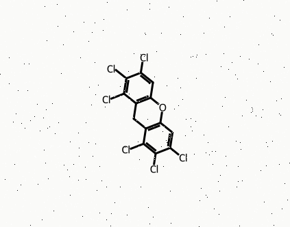 Clc1cc2c(c(Cl)c1Cl)Cc1c(cc(Cl)c(Cl)c1Cl)O2